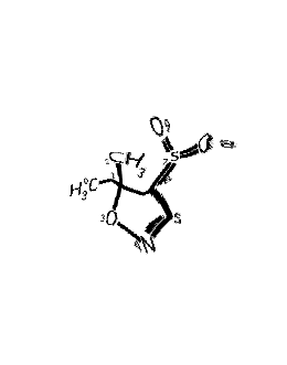 CC1(C)ON=CC1=S(=O)=O